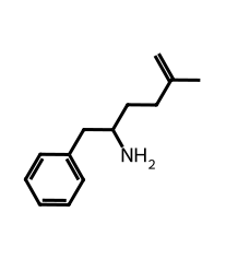 C=C(C)CCC(N)Cc1ccccc1